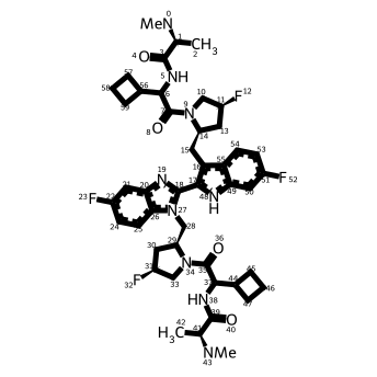 CN[C@@H](C)C(=O)NC(C(=O)N1C[C@@H](F)C[C@H]1Cc1c(-c2nc3cc(F)ccc3n2C[C@@H]2C[C@H](F)CN2C(=O)C(NC(=O)[C@H](C)NC)C2CCC2)[nH]c2cc(F)ccc12)C1CCC1